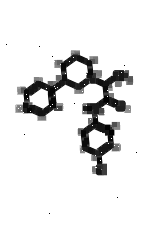 CC(C(=O)Nc1ccc(Cl)cn1)N1CCCC(c2ccncc2)C1